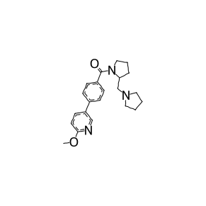 COc1ccc(-c2ccc(C(=O)N3CCCC3CN3CCCC3)cc2)cn1